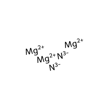 [Mg+2].[Mg+2].[Mg+2].[N-3].[N-3]